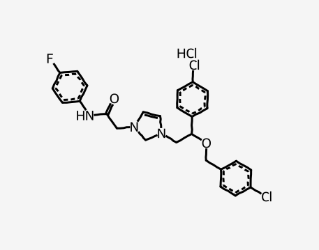 Cl.O=C(CN1C=CN(CC(OCc2ccc(Cl)cc2)c2ccc(Cl)cc2)C1)Nc1ccc(F)cc1